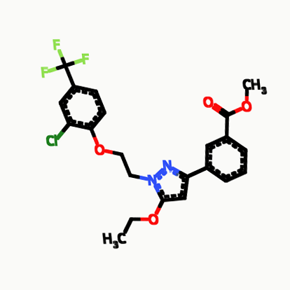 CCOc1cc(-c2cccc(C(=O)OC)c2)nn1CCOc1ccc(C(F)(F)F)cc1Cl